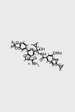 COc1cc(C(=O)NCC(O)(c2cc3c(c(-c4ccc5c(c4)OC(F)(F)O5)n2)OC[C@]3(C)C(N)=O)C2CC2)cc2cc(C3CC3)nn12